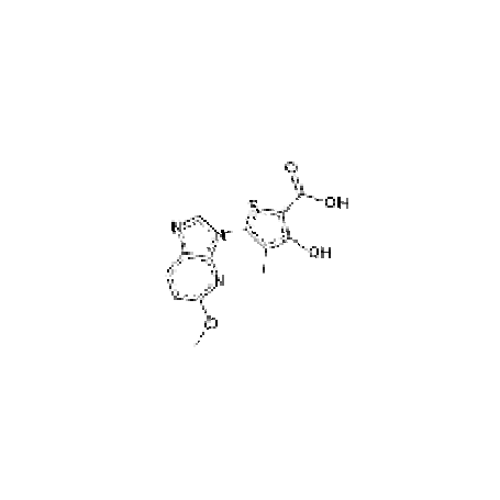 COc1ccc2ncn(-c3sc(C(=O)O)c(O)c3C)c2n1